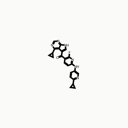 O=C(c1ccc(Nc2ccc(C3CC3)nc2)nc1F)c1c[nH]c2ncnc(C3CC3)c12